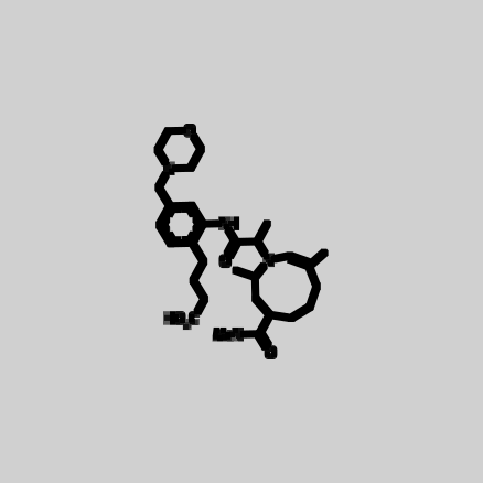 CNC(=O)C1CCC/C(C)=C\N(C(C)C(=O)Nc2cc(CN3CCOCC3)ccc2CCCC(=O)O)C(C)C1